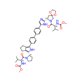 COC(=O)N[C@H](C(=O)N1CCC[C@H]1c1[nH]c(-c2ccc(-c3ccc(-c4cnc([C@@H]5CC6(CN5C(=O)[C@H](NC(=O)OC)C(C)C)OCCO6)[nH]4)cc3)cc2)c2c1CCC2)C(C)C